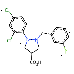 O=C(O)C1CN(Cc2cccc(F)c2)N(c2ccc(Cl)cc2Cl)C1